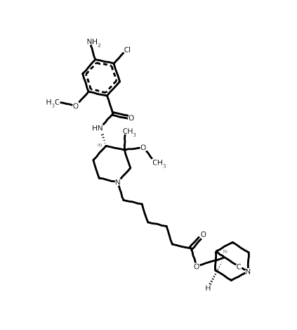 COc1cc(N)c(Cl)cc1C(=O)N[C@H]1CCN(CCCCCC(=O)O[C@@H]2CN3CCC2CC3)CC1(C)OC